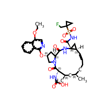 CCOc1cnc(O[C@@H]2C[C@H]3C(=O)N[C@]4(C(=O)NS(=O)(=O)C5(CF)CC5)C[C@H]4C=CCC[C@@H](C)C[C@@H](C)[C@H](NC(=O)O)C(=O)N3C2)c2ccccc12